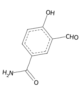 NC(=O)c1ccc(O)c(C=O)c1